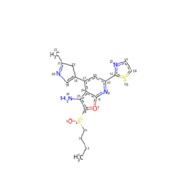 CCCC[S+]([O-])c1oc2nc(-c3nccs3)cc(C3=CN=C(C)C3)c2c1N